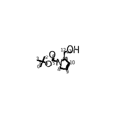 CC(C)(C)OC(=O)N1CC=C[C@@H]1CO